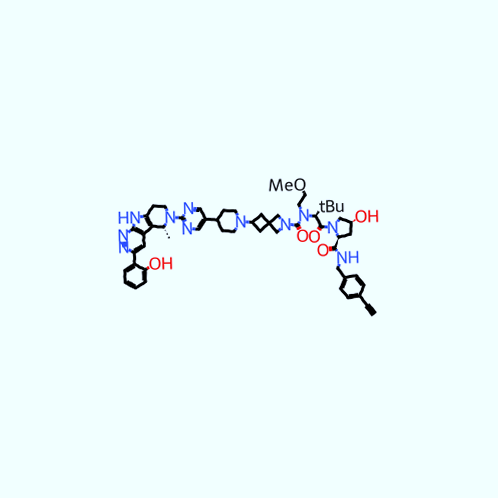 C#Cc1ccc(CNC(=O)[C@@H]2C[C@@H](O)CN2C(=O)[C@@H](N(CCOC)C(=O)N2CC3(CC(N4CCC(c5cnc(N6CCc7[nH]c8nnc(-c9ccccc9O)cc8c7[C@H]6C)nc5)CC4)C3)C2)C(C)(C)C)cc1